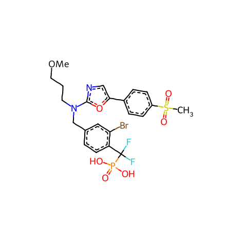 COCCCN(Cc1ccc(C(F)(F)P(=O)(O)O)c(Br)c1)c1ncc(-c2ccc(S(C)(=O)=O)cc2)o1